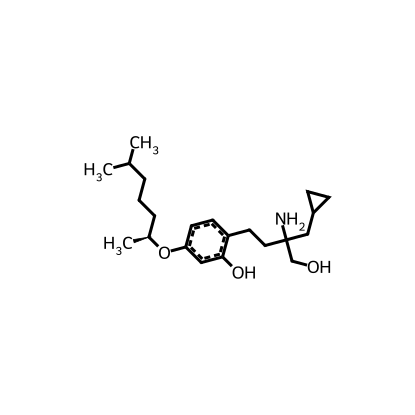 CC(C)CCC[C@H](C)Oc1ccc(CCC(N)(CO)CC2CC2)c(O)c1